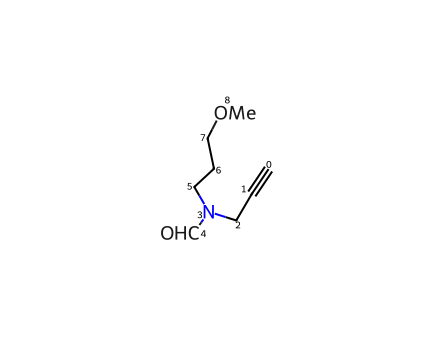 C#CCN(C=O)CCCOC